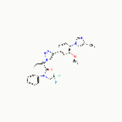 COc1cc(-c2cn([C@@H]3CCc4ccccc4N(CC(F)(F)F)C3=O)nn2)ccc1-n1cnc(C)c1